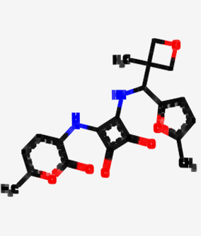 Cc1ccc(C(Nc2c(Nc3ccc(C)oc3=O)c(=O)c2=O)C2(C)COC2)o1